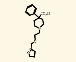 CCOC(=O)C1(c2ccccc2)CCN(CCOC[C@H]2CCCO2)CC1